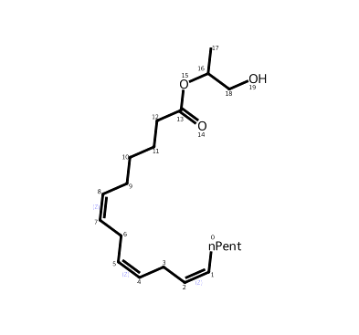 CCCCC/C=C\C/C=C\C/C=C\CCCCC(=O)OC(C)CO